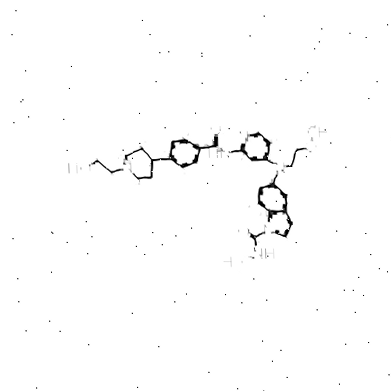 CNC(=O)n1ccc2cc(N(CCOC)c3ccnc(NC(=O)c4ccc(C5CCN(CCO)CC5)cc4)c3)ccc21